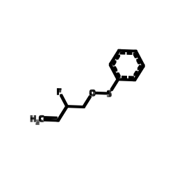 C=CC(F)COSc1ccccc1